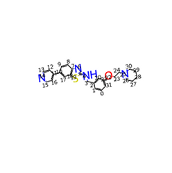 c1cc(CNc2nc3ccc(-c4ccncc4)cc3s2)cc(OCCN2CCCCC2)c1